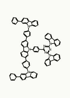 c1ccc(-c2ccc3c4ccccc4n(-c4ccc(-c5ccc6c7ccc(-c8ccc(-n9c%10ccccc%10c%10ccc(-c%11ccccc%11)cc%109)cc8)cc7n(-c7ccc(-c8nc(-n9c%10ccccc%10c%10ccccc%109)nc(-n9c%10ccccc%10c%10ccccc%109)n8)cc7)c6c5)cc4)c3c2)cc1